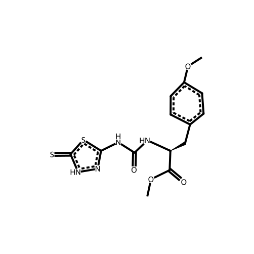 COC(=O)[C@H](Cc1ccc(OC)cc1)NC(=O)Nc1n[nH]c(=S)s1